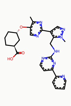 Cc1nc(-c2cnn(C)c2CNc2nccc(-c3ccccn3)n2)ncc1O[C@H]1CCC[C@H](C(=O)O)C1